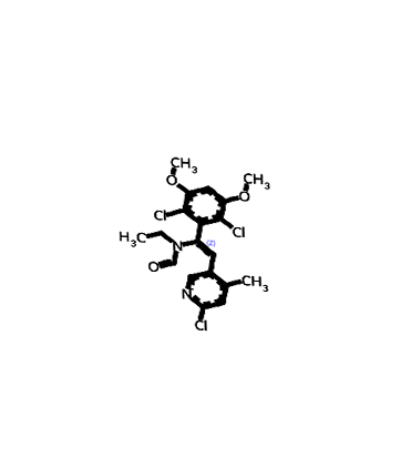 CCN(C=O)/C(=C\c1cnc(Cl)cc1C)c1c(Cl)c(OC)cc(OC)c1Cl